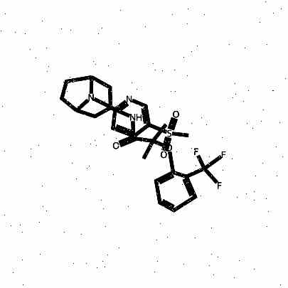 CC(C)(Oc1ccccc1C(F)(F)F)C(=O)NC1CC2CCC(C1)N2c1ccc(S(C)(=O)=O)cn1